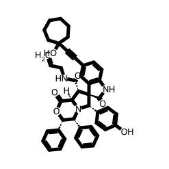 C=CCNC(=O)[C@H]1[C@@H]2C(=O)O[C@@H](c3ccccc3)[C@@H](c3ccccc3)N2[C@@H](c2ccc(O)cc2)[C@]12C(=O)Nc1ccc(C#CC3(O)CCCCCC3)cc12